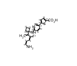 C=C(/C(F)=C\C=C/N)C1(Nc2ccc(-c3ccc(C(=O)O)s3)nn2)CCC1